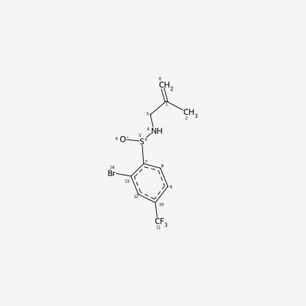 C=C(C)CN[S+]([O-])c1ccc(C(F)(F)F)cc1Br